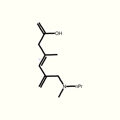 C=C(O)C/C(C)=C/C(=C)CN(C)CCC